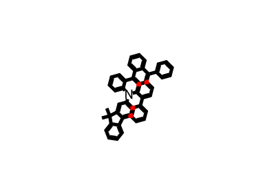 CC1(C)c2ccccc2-c2ccc(N(c3ccccc3-c3ccccc3)c3ccccc3-c3ccc(-c4ccccc4)c4ccccc34)cc21